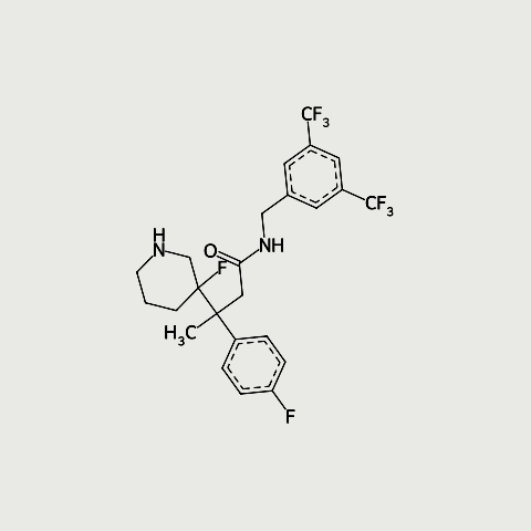 CC(CC(=O)NCc1cc(C(F)(F)F)cc(C(F)(F)F)c1)(c1ccc(F)cc1)C1(F)CCCNC1